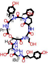 CC[C@H](C)[C@H](NC(=O)[C@H](O)Cc1ccc(O)cc1)C(=O)N[C@@H](CCO)C(=O)N[C@@H]1C(=O)N[C@@H](CCO)C(=O)N[C@H]2CC[C@@H](O)N(C2=O)[C@@H](Cc2ccccc2)C(=O)N(C)[C@@H](Cc2ccc(O)cc2)C(=O)N[C@@H](C(C)C)C(=O)O[C@@H]1C